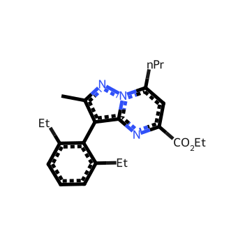 CCCc1cc(C(=O)OCC)nc2c(-c3c(CC)cccc3CC)c(C)nn12